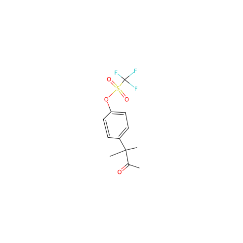 CC(=O)C(C)(C)c1ccc(OS(=O)(=O)C(F)(F)F)cc1